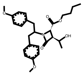 CCCCOC(=O)[C@@H]1[C@@H](C(C)O)C(=O)N1C(Cc1ccc(OC)cc1)Cc1ccc(OC)cc1